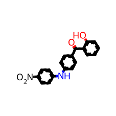 O=C(c1ccc(Nc2ccc([N+](=O)[O-])cc2)cc1)c1ccccc1O